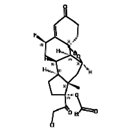 CCC(=O)O[C@]1(C(=O)CCl)CC[C@H]2[C@@H]3C[C@@H](F)C4=CC(=O)CC[C@@]45COCO[C@@H](C[C@@]21C)[C@@H]35